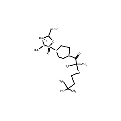 CCCCCC(CCCC)OP(=O)(N(C)C)N1CCN(C(=O)C(C)(C)OCCC(C)(C)O)CC1